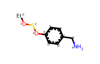 CCOSOc1ccc(CN)cc1